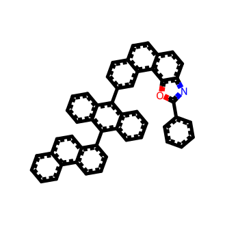 c1ccc(-c2nc3ccc4ccc5ccc(-c6c7ccccc7c(-c7cccc8c7ccc7ccccc78)c7ccccc67)cc5c4c3o2)cc1